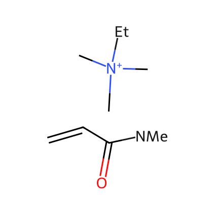 C=CC(=O)NC.CC[N+](C)(C)C